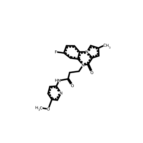 COc1ccc(NC(=O)CCn2c(=O)c3cc(C)cn3c3ccc(F)cc32)nc1